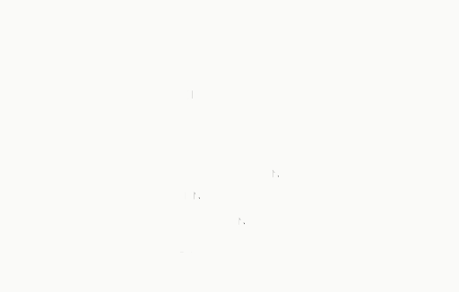 FC(F)(F)c1nc2ncc(-c3ccccc3Cl)cc2[nH]1